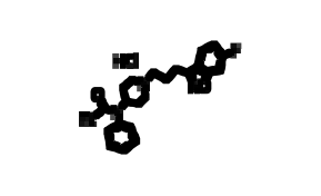 CCC(=O)N(c1ccccc1)C1CCN(CCCc2noc3cc(F)ccc23)CC1.Cl